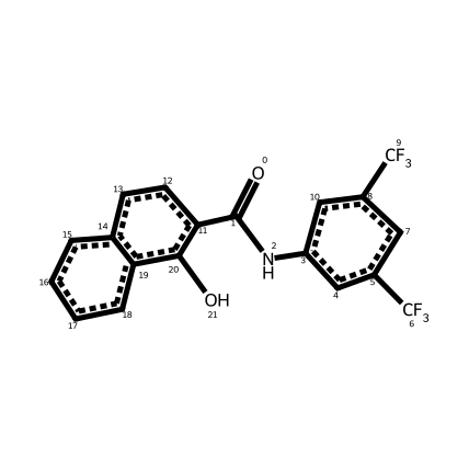 O=C(Nc1cc(C(F)(F)F)cc(C(F)(F)F)c1)c1ccc2ccccc2c1O